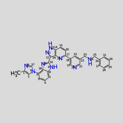 Cc1cn(-c2cccc3[nH]c(-c4n[nH]c5ccc(-c6cncc(CNCc7ccccc7)c6)nc45)nc23)cn1